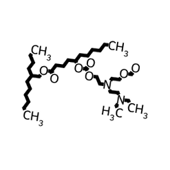 CCCCCCC(CCCC)COC(=O)CCCC(CCCCCC)OC(=O)OCCN(CCOC=O)CCN(CC)CC